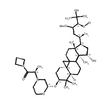 CCO[C@@H](C(C[C@@H](C)[C@H]1C[C@H](O)[C@@]2(C)C3CC[C@H]4C(C)(C)[C@@H](O[C@H]5CN([C@H](C)C(=O)N6CCC6)CCO5)CC[C@@]45CC35CC[C@]12C)OC)C(C)(C)O